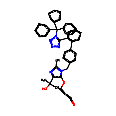 CCCc1nc(C(C)(C)O)c(OC=C=C=O)n1Cc1ccc(-c2ccccc2-c2nnnn2C(c2ccccc2)(c2ccccc2)c2ccccc2)cc1